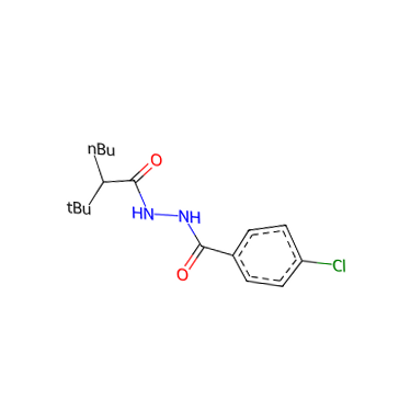 CCCCC(C(=O)NNC(=O)c1ccc(Cl)cc1)C(C)(C)C